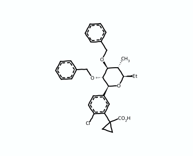 CC[C@H]1O[C@@H](c2ccc(Cl)c(C3(C(=O)O)CC3)c2)[C@H](OCc2ccccc2)[C@@H](OCc2ccccc2)[C@@H]1C